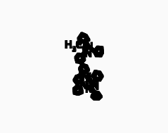 Cc1ccccc1-c1cc(-c2cccc(-c3ccc4[nH]c5c(ccc6c7ccccc7n(-c7nc(-c8ccccc8)nc(-c8ccccc8)n7)c65)c4c3)c2)nc(-c2ccccc2)n1